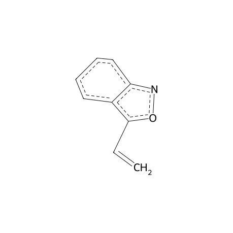 C=Cc1onc2ccccc12